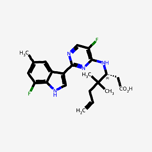 C=CCC(C)(C)[C@@H](CC(=O)O)Nc1nc(-c2c[nH]c3c(F)cc(C)cc23)ncc1F